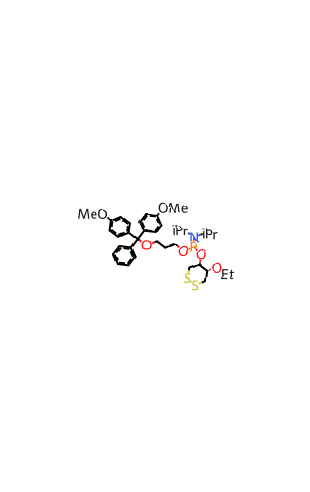 CCO[C@@H]1CSSC[C@H]1OP(OCCCOC(c1ccccc1)(c1ccc(OC)cc1)c1ccc(OC)cc1)N(C(C)C)C(C)C